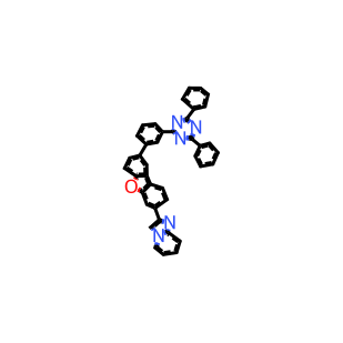 c1ccc(-c2nc(-c3ccccc3)nc(-c3cccc(-c4ccc5oc6cc(-c7cn8ccccc8n7)ccc6c5c4)c3)n2)cc1